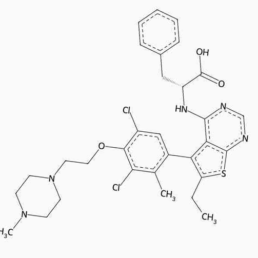 CCc1sc2ncnc(N[C@H](Cc3ccccc3)C(=O)O)c2c1-c1cc(Cl)c(OCCN2CCN(C)CC2)c(Cl)c1C